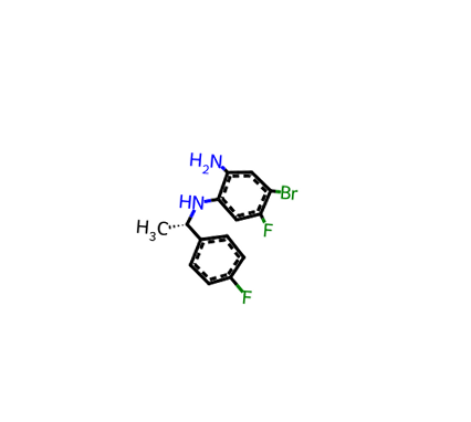 C[C@H](Nc1cc(F)c(Br)cc1N)c1ccc(F)cc1